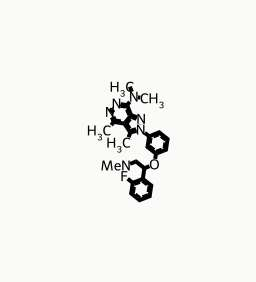 CNCC(Oc1cccc(-n2nc3c(N(C)C)nnc(C)c3c2C)c1)c1ccccc1F